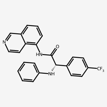 O=C(Nc1cccc2cnccc12)[C@@H](Nc1ccccc1)c1ccc(C(F)(F)F)cc1